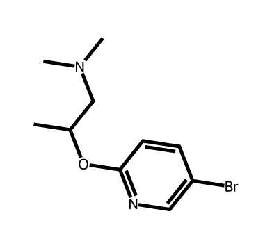 CC(CN(C)C)Oc1ccc(Br)cn1